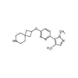 Cc1cnn(C)c1-c1ccc(OC2CC3(CCNCC3)C2)nn1